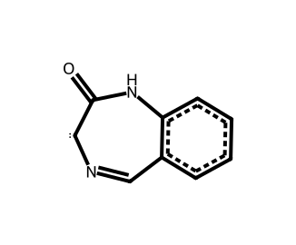 O=C1[C]N=Cc2ccccc2N1